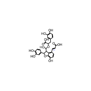 O=C(O)/C=C/c1ccc(O)c2c1C(C(O)OC(Cc1ccc(O)c(O)c1)C(=O)O)C(c1ccc(O)c(O)c1)O2